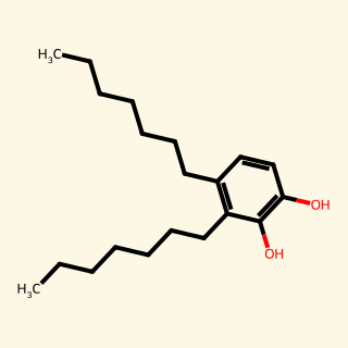 CCCCCCCc1ccc(O)c(O)c1CCCCCCC